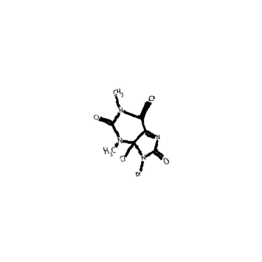 CN1C(=O)C2=NC(=O)N(Br)C2(Cl)N(C)C1=O